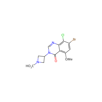 COc1cc(Br)c(Cl)c2ncn(C3CN(C(=O)O)C3)c(=O)c12